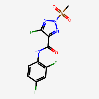 CS(=O)(=O)n1nc(F)c(C(=O)Nc2ccc(F)cc2F)n1